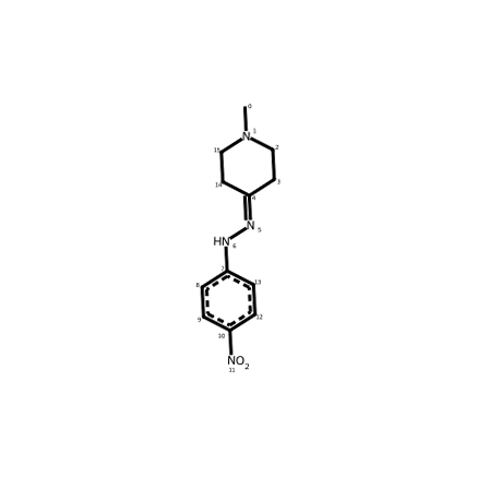 CN1CCC(=NNc2ccc([N+](=O)[O-])cc2)CC1